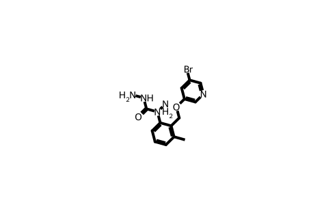 Cc1cccc(N(N)C(=O)NN)c1COc1cncc(Br)c1